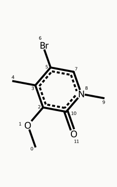 COc1c(C)c(Br)cn(C)c1=O